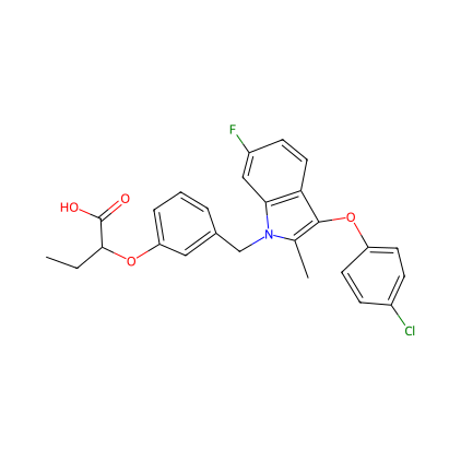 CCC(Oc1cccc(Cn2c(C)c(Oc3ccc(Cl)cc3)c3ccc(F)cc32)c1)C(=O)O